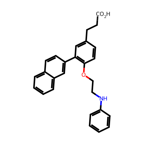 O=C(O)CCc1ccc(OCCNc2ccccc2)c(-c2ccc3ccccc3c2)c1